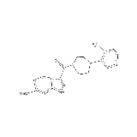 COc1ccc2c(C(=O)N3CCC(c4ccccc4C(F)(F)F)CC3)n[nH]c2c1